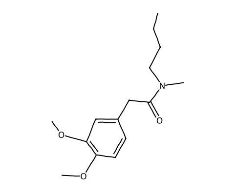 CCCCN(C)C(=O)Cc1ccc(OC)c(OC)c1